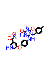 Cc1ccc(CN2C(=O)N(C)C(=O)NC2Nc2ccc(OC3=CC(C(=O)N=O)=CNC3)cc2)cc1